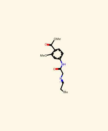 COC(=O)c1ccc(NC(=O)C/N=C/CC(C)(C)C)cc1OC